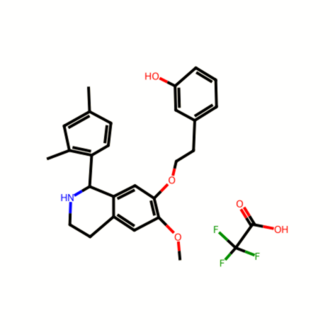 COc1cc2c(cc1OCCc1cccc(O)c1)C(c1ccc(C)cc1C)NCC2.O=C(O)C(F)(F)F